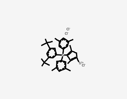 CC1=C([Si](c2cc(C)cc(C)c2)(c2cc(C)cc(C)c2)c2cc(C(C)(C)C)cc(C(C)(C)C)c2)C(C)=[C]([Ti+3])C1.[Cl-].[Cl-].[Cl-]